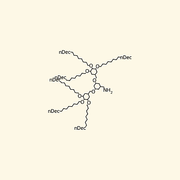 CCCCCCCCCCCCCCCCCCOC1CC(COC2CC(CN)CC(OCC3CC(OCCCCCCCCCCCCCCCCCC)C(OCCCCCCCCCCCCCCCCCC)C(OCCCCCCCCCCCCCCCCCC)C3)C2)CC(OCCCCCCCCCCCCCCCCCC)C1OCCCCCCCCCCCCCCCCCC